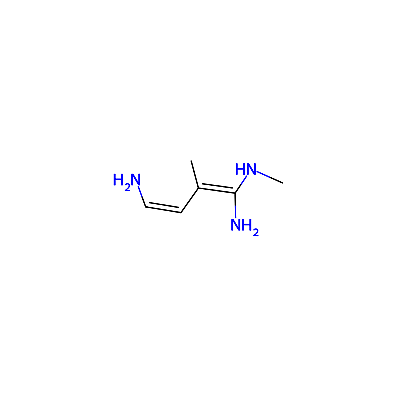 CN/C(N)=C(C)/C=C\N